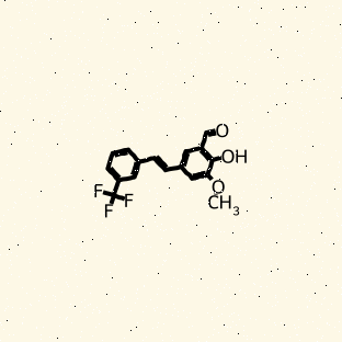 COc1cc(C=Cc2cccc(C(F)(F)F)c2)cc(C=O)c1O